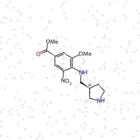 COC(=O)c1cc(OC)c(NC[C@H]2CCNC2)c([N+](=O)[O-])c1